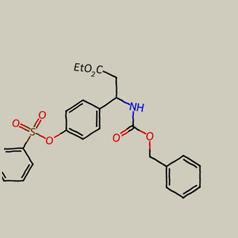 CCOC(=O)CC(NC(=O)OCc1ccccc1)c1ccc(OS(=O)(=O)c2ccccc2)cc1